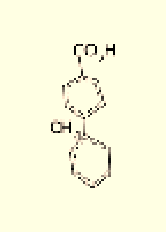 C.O=C(O)c1ccc(-c2ccccc2)cc1